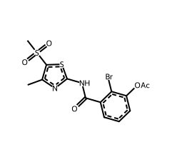 CC(=O)Oc1cccc(C(=O)Nc2nc(C)c(S(C)(=O)=O)s2)c1Br